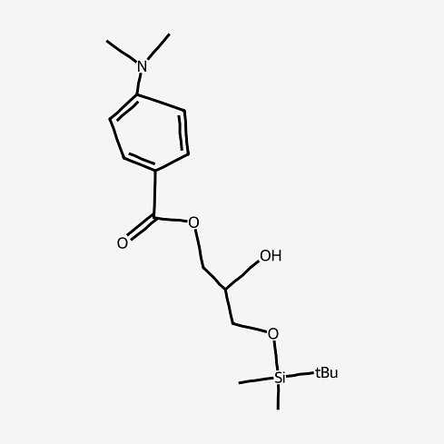 CN(C)c1ccc(C(=O)OCC(O)CO[Si](C)(C)C(C)(C)C)cc1